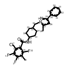 Cc1c(F)c(F)c(Cl)c(C(=O)NC2CCC(Cn3nc(-c4ccccc4)cc3C)CC2)c1F